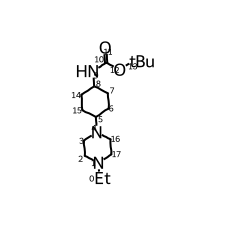 CCN1CCN(C2CCC(NC(=O)OC(C)(C)C)CC2)CC1